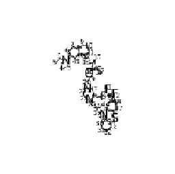 CCN(CC)c1ccc2cccc(CC(C)C(=S)OCCN3CCN(CCCN4c5ccccc5Sc5ccc(C(F)(F)F)cc54)CC3)c2c1